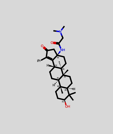 CC(C)C1=C2[C@H]3CC[C@@H]4[C@@]5(C)CC[C@H](O)C(C)(C)[C@@H]5CC[C@@]4(C)[C@]3(C)CC[C@@]2(NC(=O)CN(C)C)CC1=O